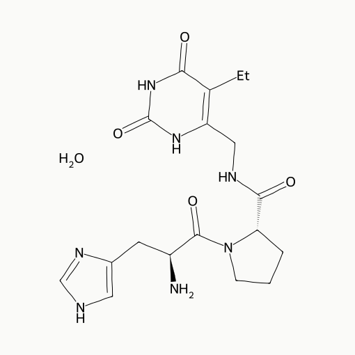 CCc1c(CNC(=O)[C@@H]2CCCN2C(=O)[C@@H](N)Cc2c[nH]cn2)[nH]c(=O)[nH]c1=O.O